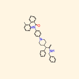 C=C(NCc1ccccc1)C(c1ccccc1)C1CCN(c2ccc(NC(=O)c3ccccc3-c3ccccc3C)cc2)CC1